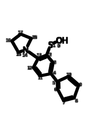 OSc1cc(-c2ccccc2)ccc1N1CCCC1